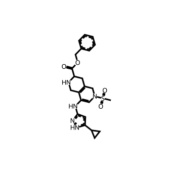 CS(=O)(=O)N1C=C(Nc2cc(C3CC3)[nH]n2)C2=C(CC(C(=O)OCc3ccccc3)NC2)C1